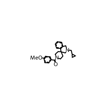 COc1ccc(C(=O)N2CCC3(CC2)CN(CC2CC2)Cc2ccccc23)cc1